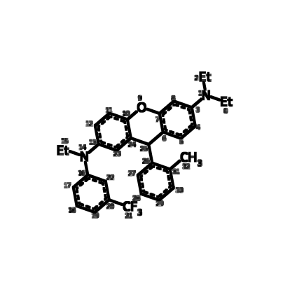 CCN(CC)c1ccc2c(c1)Oc1ccc(N(CC)c3cccc(C(F)(F)F)c3)cc1C2c1ccccc1C